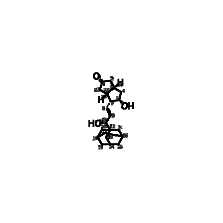 O=C1C[C@@H]2C[C@@H](O)[C@H](/C=C/[C@H](O)C34CC5CC(CC(C5)C3)C4)[C@@H]2C1